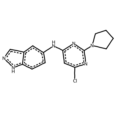 Clc1cc(Nc2ccc3[nH]ncc3c2)nc(N2CCCC2)n1